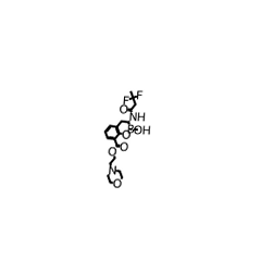 CC(F)(F)CC(=O)N[C@H]1Cc2cccc(C(=O)OCCN3CCOCC3)c2OB1O